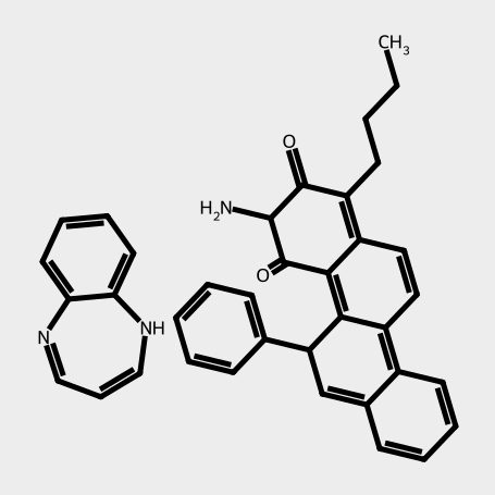 C1=CNc2ccccc2N=C1.CCCCC1=c2ccc3c(c2C(=O)C(N)C1=O)C(c1ccccc1)C=c1ccccc1=3